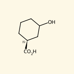 O=C(O)[C@H]1CCCC(O)C1